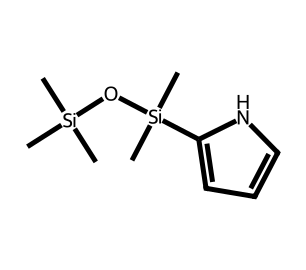 C[Si](C)(C)O[Si](C)(C)c1ccc[nH]1